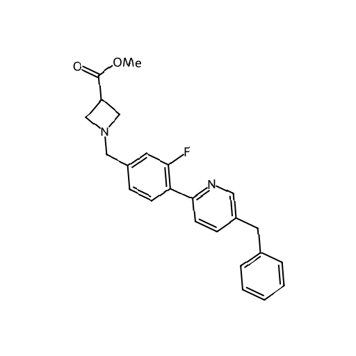 COC(=O)C1CN(Cc2ccc(-c3ccc(Cc4ccccc4)cn3)c(F)c2)C1